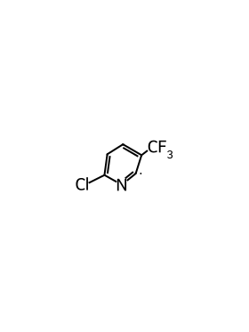 FC(F)(F)c1[c]nc(Cl)cc1